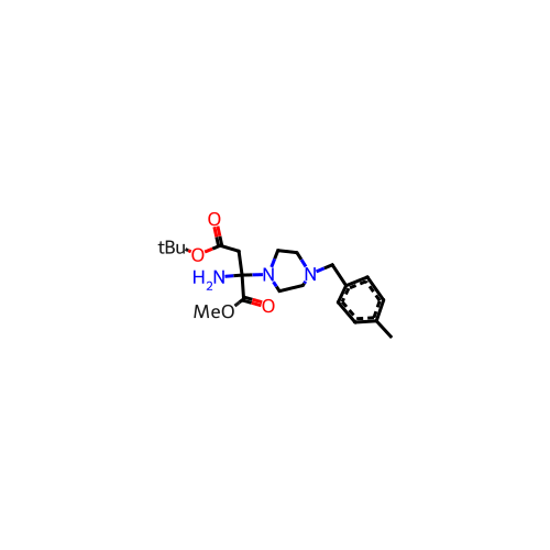 COC(=O)C(N)(CC(=O)OC(C)(C)C)N1CCN(Cc2ccc(C)cc2)CC1